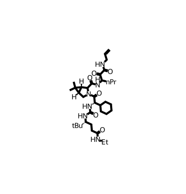 C=CCNC(=O)C(=O)C(CCC)NC(=O)C1[C@@H]2[C@H](CN1C(=O)[C@@H](NC(=O)N[C@H](CCC(=O)NCC)C(C)(C)C)C1CCCCC1)C2(C)C